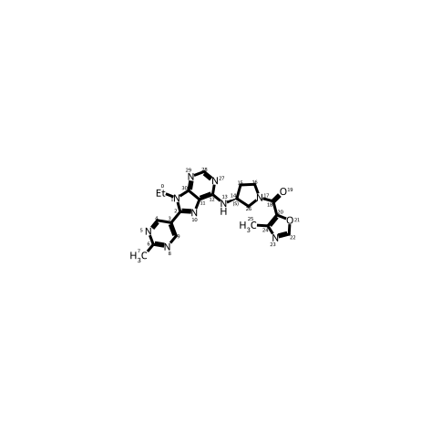 CCn1c(-c2cnc(C)nc2)nc2c(N[C@H]3CCN(C(=O)c4ocnc4C)C3)ncnc21